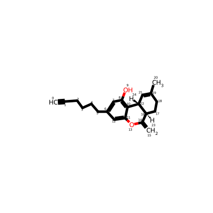 C#CCCCCc1cc(O)c2c(c1)OC(=C)[C@@H]1CCC(C)=C[C@@H]21